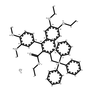 CCOC(=O)c1c(C[P+](c2ccccc2)(c2ccccc2)c2ccccc2)nc2cc(OCC)c(OCC)cc2c1-c1ccc(OC)c(OC)c1.[Cl-]